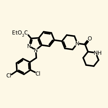 CCOC(=O)c1nn(Cc2ccc(Cl)cc2Cl)c2cc(C3=CCN(C(=O)C4CCCCN4)CC3)ccc12